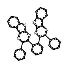 c1ccc(-c2nc3c(nc2-c2ccccc2-c2nc4sc5ccccc5c4nc2-c2ccccc2)sc2ccccc23)cc1